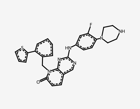 O=c1ccc2cnc(Nc3ccc(N4CCNCC4)c(F)c3)nc2n1Cc1ccccc1-c1cccs1